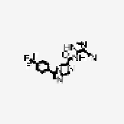 N#Cc1nc[nH]c1NC(=O)c1cn2c(-c3ccc(C(F)(F)F)cc3)cnc2cn1